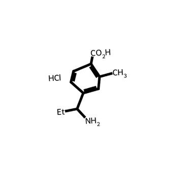 CCC(N)c1ccc(C(=O)O)c(C)c1.Cl